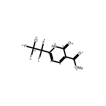 COC(=O)c1ccc(C(F)(F)C(F)(F)Cl)[nH]c1=O